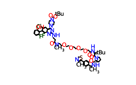 Cc1ncsc1-c1ccc([C@H](C)NC(=O)[C@@H]2CCCN2C(=O)[C@@H](NC(=O)COCCOCCOCCOCCN(C)C(=O)CCNc2nc(N3CCN(C(=O)OC(C)(C)C)CC3)c3cc(Cl)c(-c4c(O)cccc4F)c(F)c3n2)C(C)(C)C)cc1